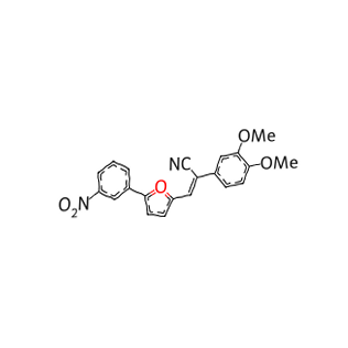 COc1ccc(/C(C#N)=C/c2ccc(-c3cccc([N+](=O)[O-])c3)o2)cc1OC